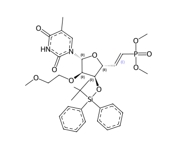 COCCO[C@@H]1[C@H](O[Si](c2ccccc2)(c2ccccc2)C(C)(C)C)[C@@H](/C=C/P(=O)(OC)OC)O[C@H]1n1cc(C)c(=O)[nH]c1=O